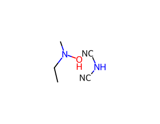 CCN(C)O.N#CNC#N